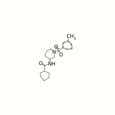 Cc1cccc(S(=O)(=O)N2CCC[C@H](NC(=O)C3CCCCC3)C2)c1